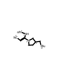 CCCN/C(=C\C#N)N1CCC(CC(C)(C)C)C1